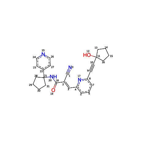 N#C/C(=C\c1cccc(C#CC2(O)CCCC2)n1)C(=O)NC1(c2ccncc2)CCCC1